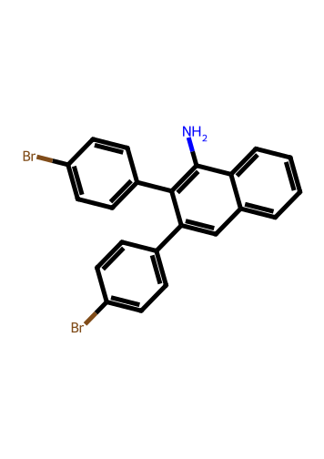 Nc1c(-c2ccc(Br)cc2)c(-c2ccc(Br)cc2)cc2ccccc12